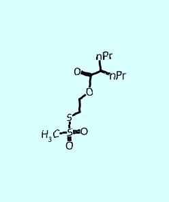 CCCC(CCC)C(=O)OCCSS(C)(=O)=O